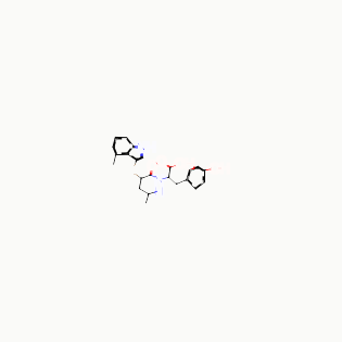 Cc1cccc2[nH]cc(SC(CC(C)C)C(=O)NC(Cc3ccc(O)cc3)C(=O)O)c12